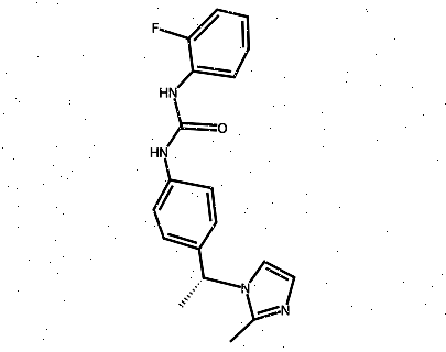 Cc1nccn1[C@H](C)c1ccc(NC(=O)Nc2ccccc2F)cc1